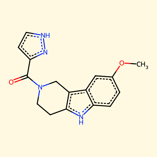 COc1ccc2[nH]c3c(c2c1)CN(C(=O)c1cc[nH]n1)CC3